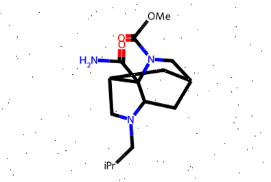 COC(=O)N1CC2CC3CN(CC(C)C)C(C2)C31C(N)=O